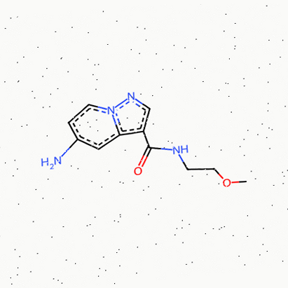 COCCNC(=O)c1cnn2ccc(N)cc12